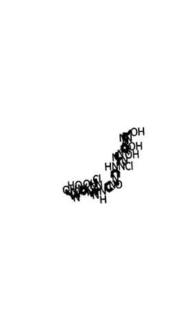 O=C(N1CCC(Nc2nc(Cl)nc3c2ncn3[C@@H]2C[C@H](n3ncc(CO)n3)[C@@H](O)[C@H]2O)CC1)N1CCC(Nc2nc(Cl)nc3c2ncn3[C@@H]2C[C@H](n3ncc(CO)n3)[C@@H](O)[C@H]2O)CC1